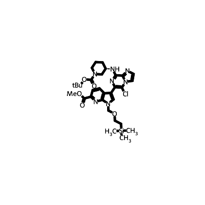 COC(=O)c1ccc2c(-c3nc(N[C@H]4CCCN(C(=O)OC(C)(C)C)C4)c4nccn4c3Cl)cn(COCC[Si](C)(C)C)c2n1